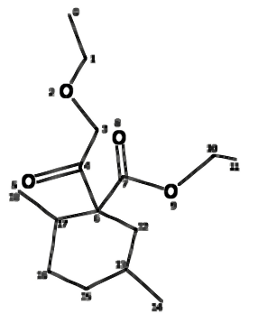 CCOCC(=O)C1(C(=O)OCC)CC(C)CCC1C